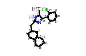 Cc1[nH]c(Cc2ccc3ccccc3c2)nc1-c1ccccc1Cl